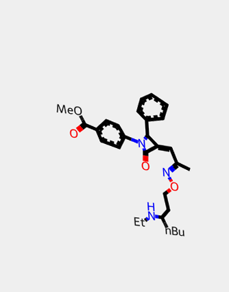 CCCCC(CCON=C(C)C=C1C(=O)N(c2ccc(C(=O)OC)cc2)C1c1ccccc1)NCC